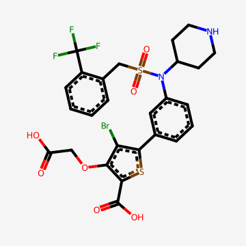 O=C(O)COc1c(C(=O)O)sc(-c2cccc(N(C3CCNCC3)S(=O)(=O)Cc3ccccc3C(F)(F)F)c2)c1Br